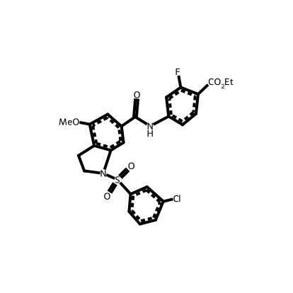 CCOC(=O)c1ccc(NC(=O)c2cc(OC)c3c(c2)N(S(=O)(=O)c2cccc(Cl)c2)CC3)cc1F